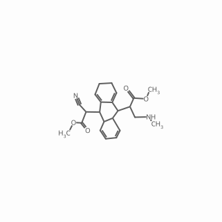 CNCC(C(=O)OC)C1C2=CCCC=C2C(C(C#N)C(=O)OC)C2C=CC=CC21